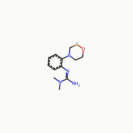 CN(C)C(N)=Nc1ccccc1N1CCOSC1